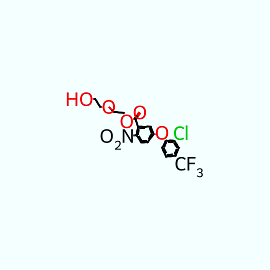 O=C(OCCOCCO)c1cc(Oc2ccc(C(F)(F)F)cc2Cl)ccc1[N+](=O)[O-]